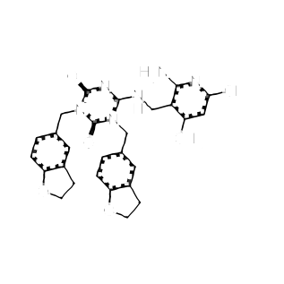 Cc1cc(C)c(CNc2nc(=O)n(Cc3ccc4c(c3)CCO4)c(=O)n2Cc2ccc3c(c2)CCO3)c(N)n1